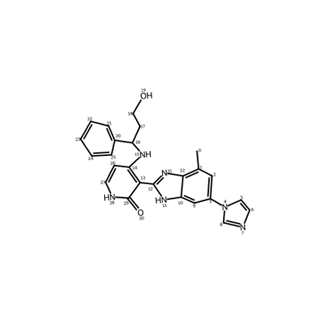 Cc1cc(-n2ccnc2)cc2[nH]c(-c3c(NC(CCO)c4ccccc4)cc[nH]c3=O)nc12